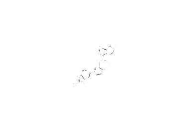 CCNc1nc2ccc(-c3ccc4c(c3)CN(c3ncnc5cc(F)ccc35)CCO4)cc2[nH]1